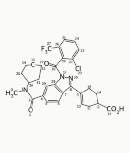 CN(C(=O)c1ccc2c(C3=CCC(C(=O)O)CC3)nn(C(=O)c3c(Cl)cccc3C(F)(F)F)c2c1)C1CCCCC1